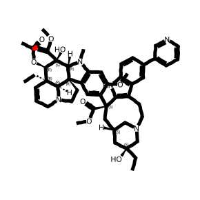 CC[C@]1(O)C[C@H]2CN(CCc3c([nH]c4ccc(-c5cccnc5)cc34)[C@@](C(=O)OC)(c3cc4c(cc3OC)N(C)[C@H]3[C@@](O)(C(=O)OC)[C@H](OC(C)=O)[C@]5(CC)C=CCN6CC[C@]43[C@@H]65)C2)C1